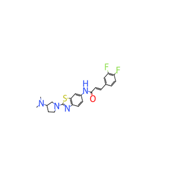 CN(C)C1CCN(c2nc3ccc(NC(=O)/C=C/c4ccc(F)c(F)c4)cc3s2)C1